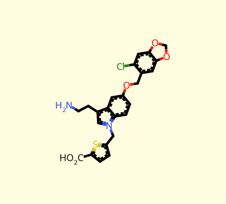 NCCc1cn(Cc2ccc(C(=O)O)s2)c2ccc(OCc3cc4c(cc3Cl)OCO4)cc12